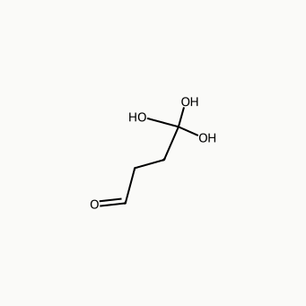 O=CCCC(O)(O)O